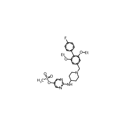 CCOc1cc(CN2CCC(Nc3ncc(OS(C)(=O)=O)cn3)CC2)cc(OCC)c1-c1ccc(F)cc1